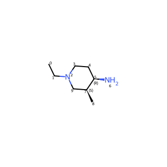 CCN1CC[C@@H](N)[C@@H](C)C1